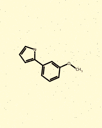 COc1cccc(C2=CC=C[N]2)c1